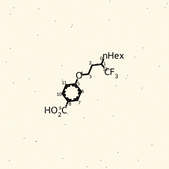 CCCCCCC(CCOc1ccc(C(=O)O)cc1)C(F)(F)F